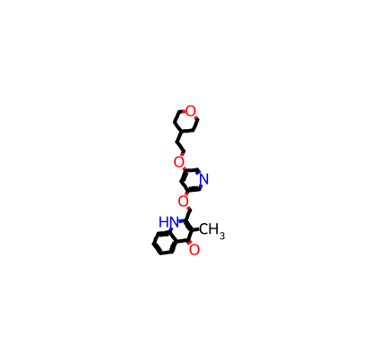 Cc1c(COc2cncc(OCCC3CCOCC3)c2)[nH]c2ccccc2c1=O